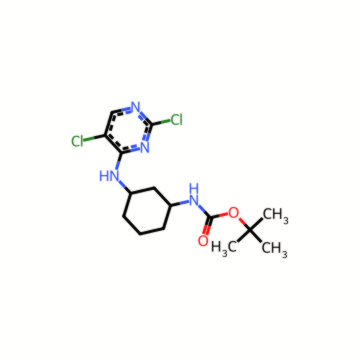 CC(C)(C)OC(=O)NC1CCCC(Nc2nc(Cl)ncc2Cl)C1